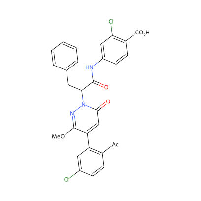 COc1nn(C(Cc2ccccc2)C(=O)Nc2ccc(C(=O)O)c(Cl)c2)c(=O)cc1-c1cc(Cl)ccc1C(C)=O